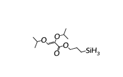 CC(C)OC=C(OC(C)C)C(=O)OCCC[SiH3]